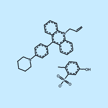 C=CC[n+]1c2ccccc2c(-c2ccc(N3CCCCC3)cc2)c2ccccc21.Cc1ccc(O)cc1S(=O)(=O)[O-]